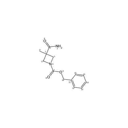 CC1(C(N)=O)CN(C(=O)OCc2ccccc2)C1